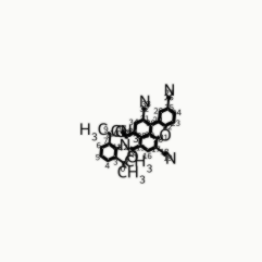 CC(C)c1cccc(C(C)C)c1-n1c(=O)c2cc(C#N)c3oc4ccc(C#N)cc4c4c(C#N)cc(c1=O)c2c34